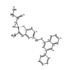 NC(=O)[C@@]1(Cc2ccc(OCc3cc(-c4ccccc4)nc4ccccc34)cc2)CC1C(=O)NO